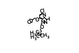 C[Si](C)(C)CCOCn1nc(I)c2nc(Cl)cc(OCC3COC3)c21